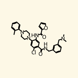 Cc1ccccc1N1CCN(c2cc(Cl)c(C(=O)NCc3cccc(CN(C)C)c3)cc2NC(=O)c2ccco2)CC1